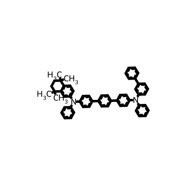 CC1(C)CCC(C)(C)c2cc(N(c3ccccc3)c3ccc(-c4ccc(-c5ccc(N(c6ccccc6)c6cccc(-c7ccccc7)c6)cc5)cc4)cc3)ccc21